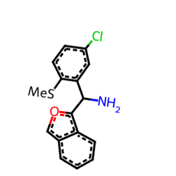 CSc1ccc(Cl)cc1C(N)c1occ2ccccc12